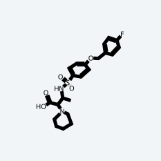 CC(NS(=O)(=O)c1ccc(OCc2ccc(F)cc2)cc1)C(C(=O)O)N1CCCCC1